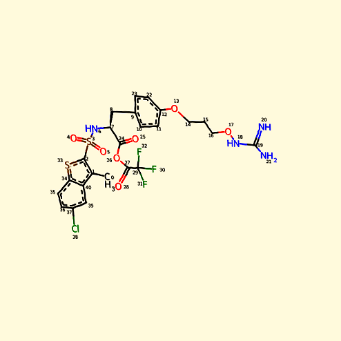 Cc1c(S(=O)(=O)N[C@@H](Cc2ccc(OCCCONC(=N)N)cc2)C(=O)OC(=O)C(F)(F)F)sc2ccc(Cl)cc12